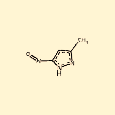 Cc1cc(N=O)[nH]n1